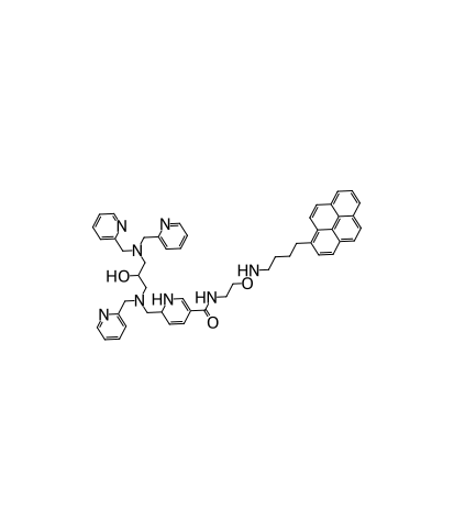 O=C(NCCONCCCCc1ccc2ccc3cccc4ccc1c2c34)C1=CNC(CN(Cc2ccccn2)CC(O)CN(Cc2ccccn2)Cc2ccccn2)C=C1